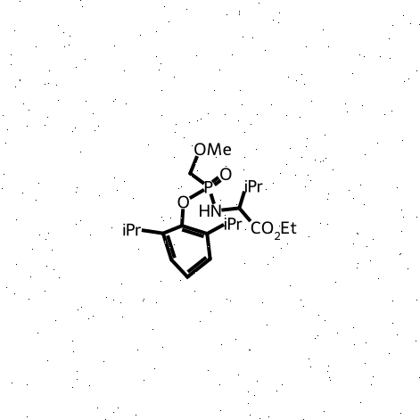 CCOC(=O)C(NP(=O)(COC)Oc1c(C(C)C)cccc1C(C)C)C(C)C